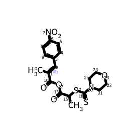 C/C(=C\c1ccc([N+](=O)[O-])cc1)C(=O)OC(=O)C(C)SC(=S)N1CCOCC1